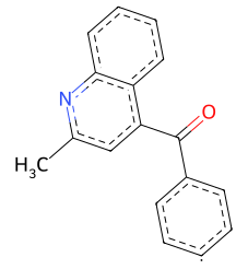 Cc1cc(C(=O)c2cc[c]cc2)c2ccccc2n1